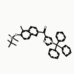 Cc1c(O[Si](C)(C)C(C)(C)C)ccc2cc(C(=O)c3cn(C(c4ccccc4)(c4ccccc4)c4ccccc4)cn3)ccc12